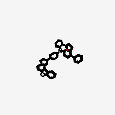 C1=CCC(C2=CCC=C2)C(N(c2ccc(-c3ccccc3)cc2)C2C=CC(c3ccc4ccc5oc6ccccc6c5c4c3)=CC2)=C1